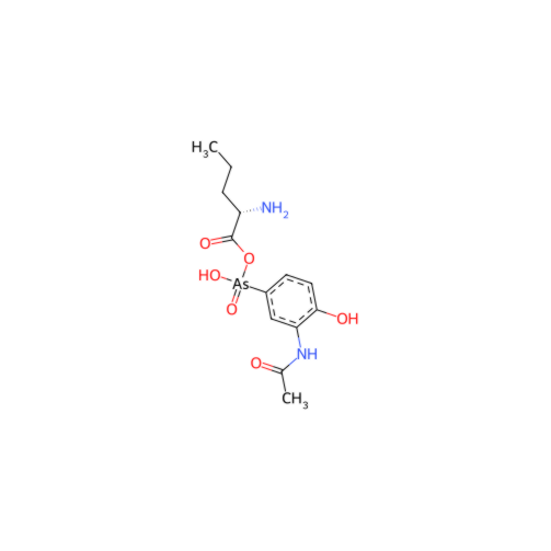 CCC[C@H](N)C(=O)O[As](=O)(O)c1ccc(O)c(NC(C)=O)c1